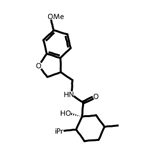 COc1ccc2c(c1)OCC2CNC(=O)[C@@]1(O)CC(C)CCC1C(C)C